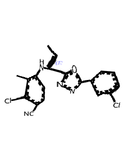 C/C=C(\Nc1ccc(C#N)c(Cl)c1C)c1nnc(-c2cccc(Cl)c2)o1